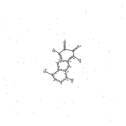 O=C1C(=O)C(Cl)=c2cc3c(Cl)ccc(Cl)c3cc2=C1Cl